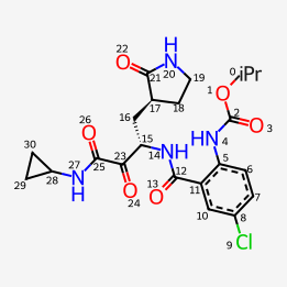 CC(C)OC(=O)Nc1ccc(Cl)cc1C(=O)N[C@@H](C[C@@H]1CCNC1=O)C(=O)C(=O)NC1CC1